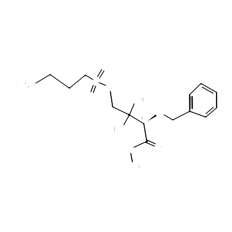 CC(=O)NCCCS(=O)(=O)OCC(C)(C)[C@@H](OCc1ccccc1)C(=O)OC(C)C